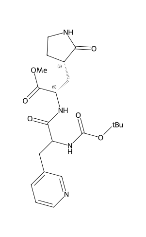 COC(=O)[C@H](C[C@@H]1CCNC1=O)NC(=O)C(Cc1cccnc1)NC(=O)OC(C)(C)C